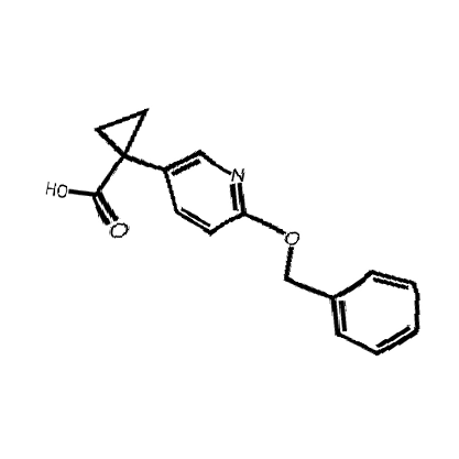 O=C(O)C1(c2ccc(OCc3ccccc3)nc2)CC1